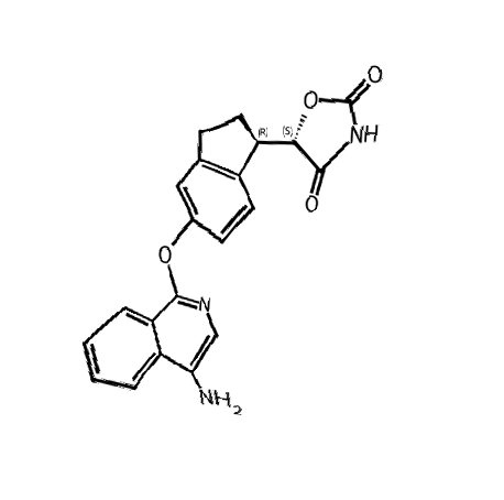 Nc1cnc(Oc2ccc3c(c2)CC[C@H]3[C@@H]2OC(=O)NC2=O)c2ccccc12